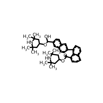 CC1(C)CC(OC(=O)c2cccc3cccc(-c4ccc5cc(C(O)OC6CC(C)(C)NC(C)(C)C6)ccc5c4)c23)CC(C)(C)N1